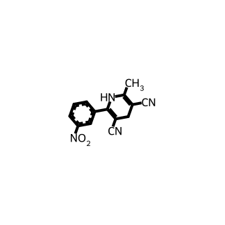 CC1=C(C#N)CC(C#N)=C(c2cccc([N+](=O)[O-])c2)N1